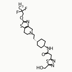 CC(F)(F)COc1nc2c(s1)CCN(CC[C@H]1CC[C@H](NC(=O)Cc3nnc(CO)s3)CC1)C2